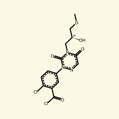 COC[C@H](O)Cn1c(=O)cnn(-c2ccc(Cl)c(C(=O)Cl)c2)c1=O